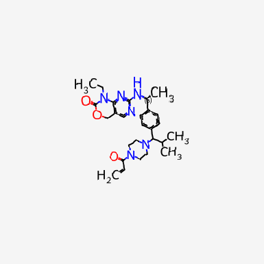 C=CC(=O)N1CCN(C(c2ccc([C@H](C)Nc3ncc4c(n3)N(CC)C(=O)OC4)cc2)C(C)C)CC1